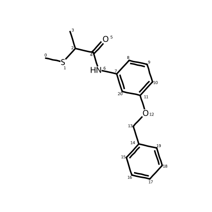 CSC(C)C(=O)Nc1cccc(OCc2ccccc2)c1